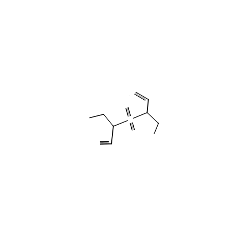 C=CC(CC)S(=O)(=O)C(C=C)CC